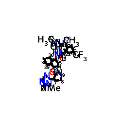 CNc1ncnc(-c2cccnc2Oc2ccc(NC(=O)Nc3cc(C(F)(F)F)ccc3N(C)CCN(C)C)c3ccccc23)n1